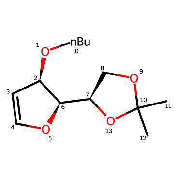 CCCCO[C@@H]1C=CO[C@@H]1[C@H]1COC(C)(C)O1